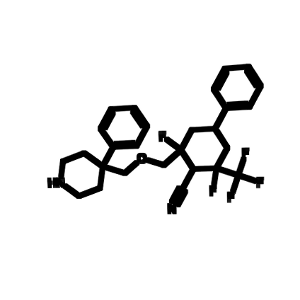 N#CC1C(F)(COCC2(c3ccccc3)CCNCC2)CC(c2ccccc2)CC1(F)C(F)(F)F